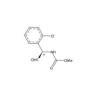 COC(=O)N[C@@H]([C]=O)c1ccccc1Cl